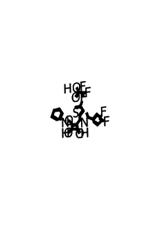 Cc1csc(C(NC(C)c2ccc(F)c(F)c2)c2c(ONc3ccccc3)c(=O)c2=O)c1.O=C(O)C(F)(F)F